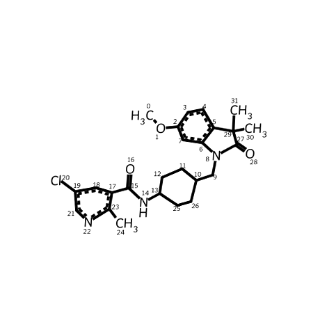 COc1ccc2c(c1)N(CC1CCC(NC(=O)c3cc(Cl)cnc3C)CC1)C(=O)C2(C)C